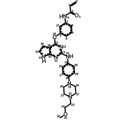 C=CC(=O)Nc1cccc(Oc2nc(Nc3ccc(N4CCN(CCOC)CC4)cc3)nc3[nH]ccc23)c1